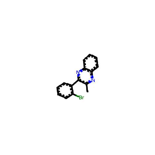 Cc1nc2ccccc2nc1-c1ccccc1Br